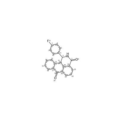 O=C1NC(c2ccc(F)cc2)n2c3ccccc3c(=O)c3cccc1c32